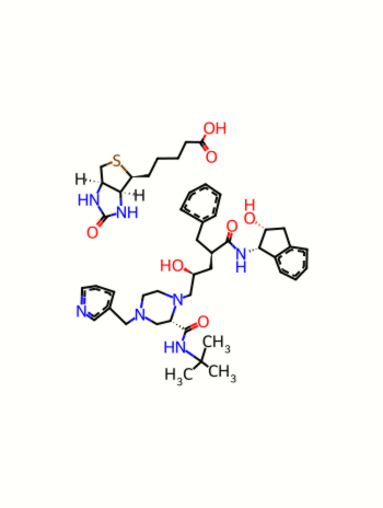 CC(C)(C)NC(=O)[C@@H]1CN(Cc2cccnc2)CCN1C[C@@H](O)C[C@@H](Cc1ccccc1)C(=O)N[C@H]1c2ccccc2C[C@H]1O.O=C(O)CCCC[C@@H]1SC[C@@H]2NC(=O)N[C@@H]21